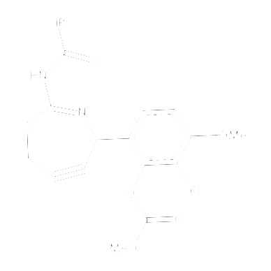 COC(=O)Oc1c(C2C#CCSC(NC(=O)C(C)C)=N2)ccc(OC)c1C